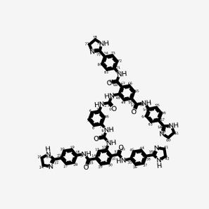 O=C(Nc1cccc(NC(=O)Nc2cc(C(=O)Nc3ccc(C4=NCCN4)cc3)ccc2C(=O)Nc2ccc(C3=NCCN3)cc2)c1)Nc1cc(C(=O)Nc2ccc(C3=NCCN3)cc2)ccc1C(=O)Nc1ccc(C2=NCCN2)cc1